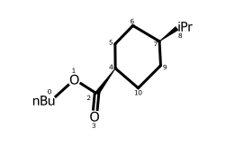 CCCCOC(=O)[C@H]1CC[C@@H](C(C)C)CC1